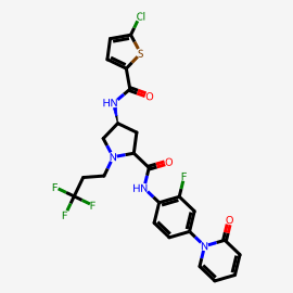 O=C(N[C@H]1CC(C(=O)Nc2ccc(-n3ccccc3=O)cc2F)N(CCC(F)(F)F)C1)c1ccc(Cl)s1